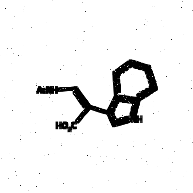 CC(=O)NC=C(C(=O)O)c1c[nH]c2ccccc12